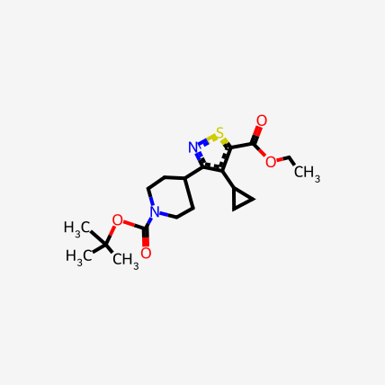 CCOC(=O)c1snc(C2CCN(C(=O)OC(C)(C)C)CC2)c1C1CC1